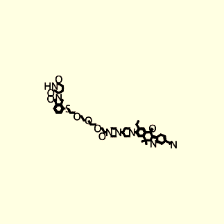 CCc1cc2c(cc1N1CCC(N3CCN(C(=O)COCCOCCOCCSc4cccc5c4CN(C4CCC(=O)NC4=O)C5=O)CC3)CC1)C(C)(C)C1=NC3=CC(C#N)=CCC3=C1C2=O